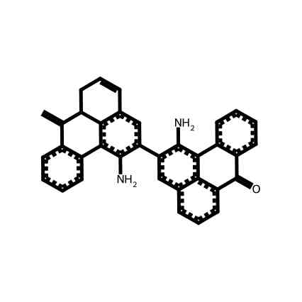 C=C1c2ccccc2-c2c(N)c(-c3cc4cccc5c4c(c3N)-c3ccccc3C5=O)cc3c2C1CC=C3